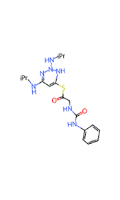 CC(C)NC1=NN(NC(C)C)NC(SC(=O)CNC(=O)Nc2ccccc2)=C1